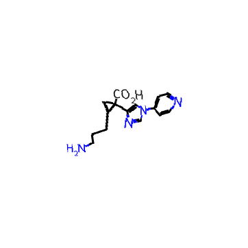 NCCCC1CC1(C(=O)O)c1cn(-c2ccncc2)cn1